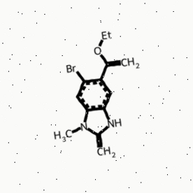 C=C(OCC)c1cc2c(cc1Br)N(C)C(=C)N2